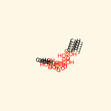 O.O=P(O)(O)O.O=P(O)(O)O.O=P(O)(O)O.O=P(O)(O)O.[CaH2].[CaH2].[CaH2].[CaH2].[CaH2].[CaH2].[CaH2].[CaH2].[CaH2]